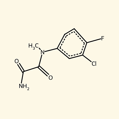 CN(C(=O)C(N)=O)c1ccc(F)c(Cl)c1